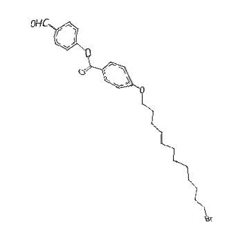 O=Cc1ccc(OC(=O)c2ccc(OCCCCCCCCCCCCBr)cc2)cc1